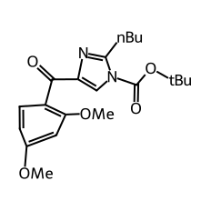 CCCCc1nc(C(=O)c2ccc(OC)cc2OC)cn1C(=O)OC(C)(C)C